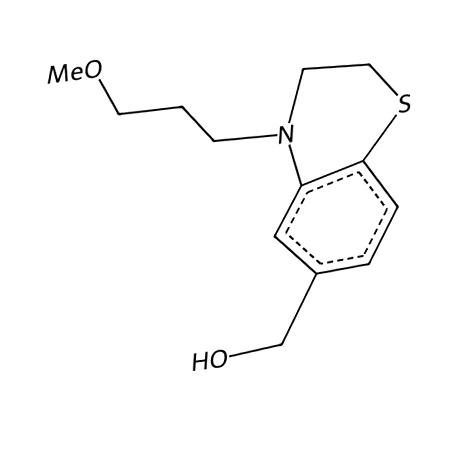 COCCCN1CCSc2ccc(CO)cc21